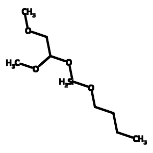 CCCCO[SiH2]OC(COC)OC